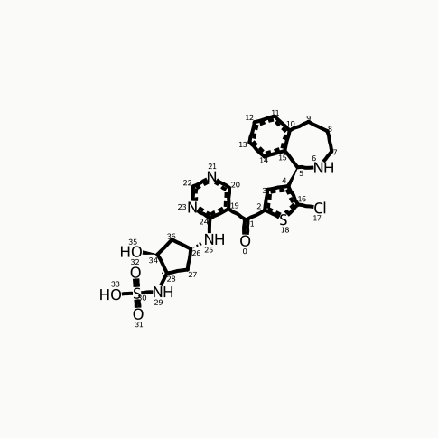 O=C(c1cc([C@@H]2NCCCc3ccccc32)c(Cl)s1)c1cncnc1N[C@@H]1C[C](NS(=O)(=O)O)[C@@H](O)C1